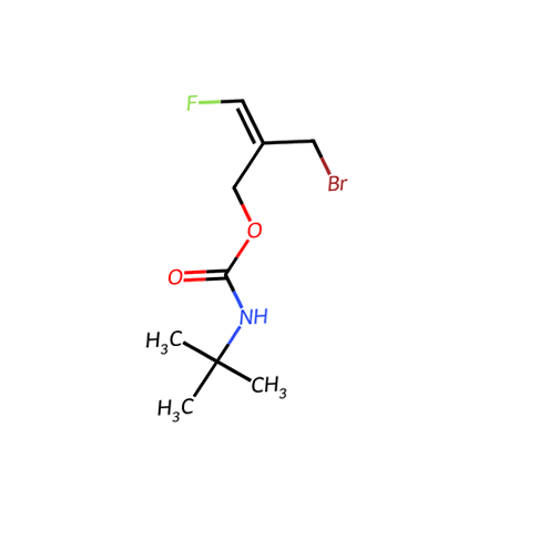 CC(C)(C)NC(=O)OC/C(=C\F)CBr